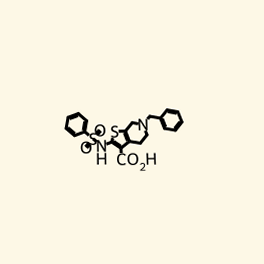 O=C(O)c1c(NS(=O)(=O)c2ccccc2)sc2c1CCN(Cc1ccccc1)C2